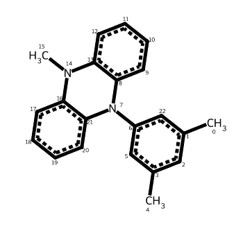 Cc1cc(C)cc(N2c3ccccc3N(C)c3ccccc32)c1